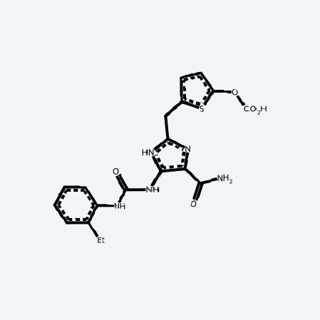 CCc1ccccc1NC(=O)Nc1[nH]c(Cc2ccc(OC(=O)O)s2)nc1C(N)=O